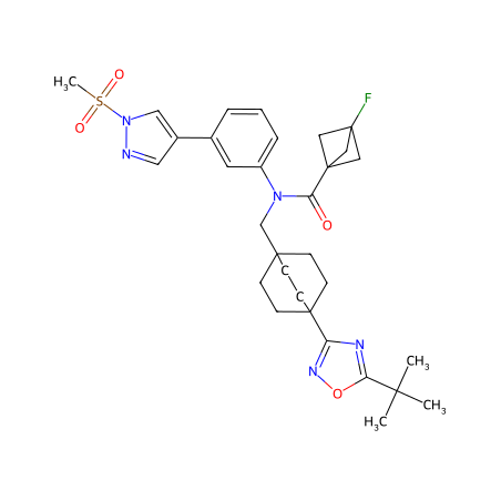 CC(C)(C)c1nc(C23CCC(CN(C(=O)C45CC(F)(C4)C5)c4cccc(-c5cnn(S(C)(=O)=O)c5)c4)(CC2)CC3)no1